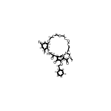 CN1CN2CCCOCCOCCCOc3cc(F)cc(F)c3CNC(=O)c3cn2c(c(OCc2ccccc2)c3=O)C1=O